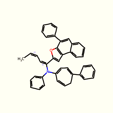 C/C=C\C=C(/c1cc2c(o1)c(-c1ccccc1)cc1ccccc12)N(C1=CC=C(c2ccccc2)CC=C1)c1ccccc1